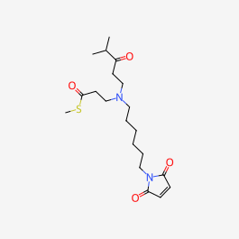 CSC(=O)CCN(CCCCCCN1C(=O)C=CC1=O)CCC(=O)C(C)C